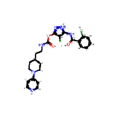 O=C(NCCC1CCN(c2ccncc2)CC1)Oc1n[nH]c(NC(=O)c2ccccc2Cl)c1F